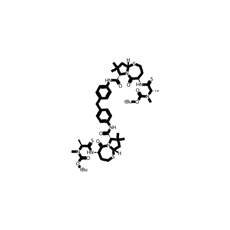 C[C@@H](C(=S)N[C@H]1CCS[C@H]2CC(C)(C)[C@@H](C(=O)Nc3ccc(Cc4ccc(NC(=O)[C@H]5N6C(=O)[C@@H](NC(=S)[C@H](C)N(C)C(=O)OC(C)(C)C)CCS[C@H]6CC5(C)C)cc4)cc3)N2C1=O)N(C)C(=O)OC(C)(C)C